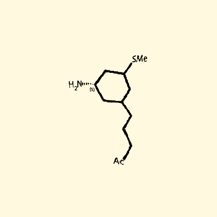 CSC1CC(CCCC(C)=O)C[C@H](N)C1